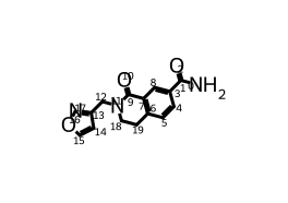 NC(=O)c1ccc2c(c1)C(=O)N(Cc1ccon1)CC2